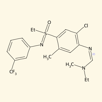 CCN(C)/C=N\c1cc(C)c(S(=O)(CC)=Nc2cccc(C(F)(F)F)c2)cc1Cl